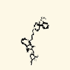 CC1(c2ccccc2OC(F)(F)F)CCN(CCCOc2cccc3c2C(=O)N(C[C@@H]2CCC(=O)NC2=O)C3=O)CC1